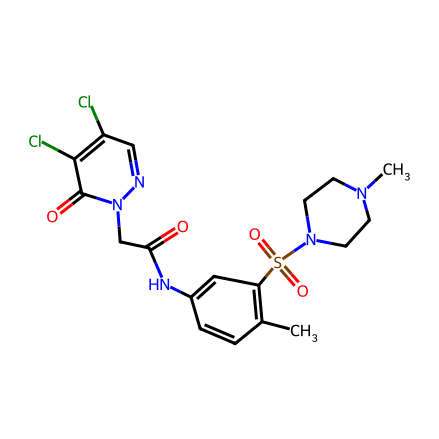 Cc1ccc(NC(=O)Cn2ncc(Cl)c(Cl)c2=O)cc1S(=O)(=O)N1CCN(C)CC1